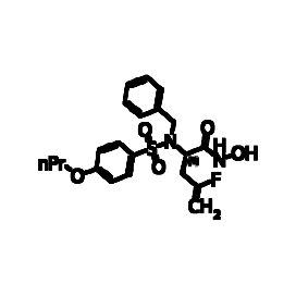 C=C(F)C[C@H](C(=O)NO)N(Cc1ccccc1)S(=O)(=O)c1ccc(OCCC)cc1